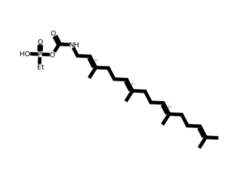 CCP(=O)(O)OC(=O)NC/C=C(\C)CC/C=C(\C)CC/C=C(\C)CCC=C(C)C